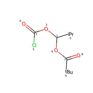 CC(C)C(OC(=O)Cl)OC(=O)C(C)(C)C